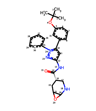 CC(C)(C)Oc1cccc(-c2cc(NC(=O)[C@@H]3CNC4OC4C3)nn2-c2ccccc2)c1